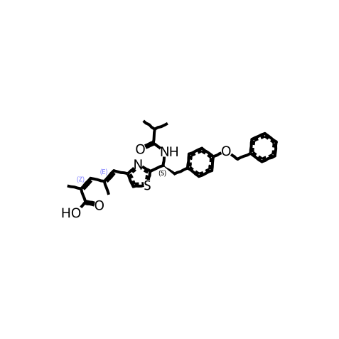 C/C(=C/C(C)=C/c1csc([C@H](Cc2ccc(OCc3ccccc3)cc2)NC(=O)C(C)C)n1)C(=O)O